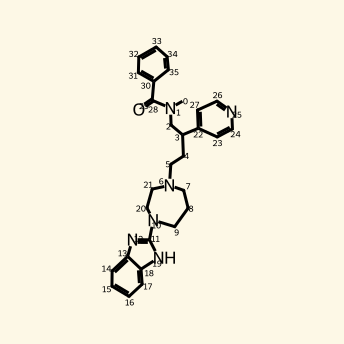 CN(CC(CCN1CCCN(c2nc3ccccc3[nH]2)CC1)c1ccncc1)C(=O)c1ccccc1